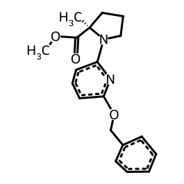 COC(=O)[C@@]1(C)CCCN1c1cccc(OCc2ccccc2)n1